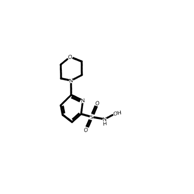 O=S(=O)(NO)c1cccc(N2CCOCC2)n1